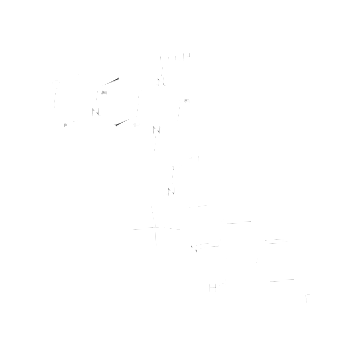 C[C@@H]1CN(CC(=O)N2CC(C)(C)c3nc(CO)c(Cc4ccc(F)cc4)cc32)[C@@H](CN2[C@H](C)COC[C@H]2C)CN1C(=O)O